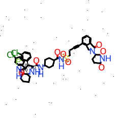 O=C1CCC(N2Cc3c(C#CCCS(=O)(=O)NC(=O)C4CCC(NC(=O)[C@@H]5NC6(CCCCC6)[C@@]6(C(=O)Nc7cc(Cl)ccc76)[C@H]5c5cccc(Cl)c5F)CC4)cccc3C2=O)C(=O)N1